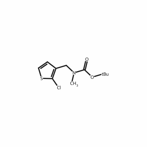 CN(Cc1ccsc1Cl)C(=O)OC(C)(C)C